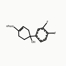 CCCCCC1=CCC(O)(c2ccc(F)c(F)c2)CC1